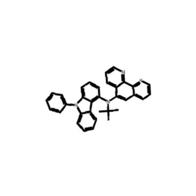 CC(C)(C)N(c1cc2cccnc2c2ncccc12)c1cccc2c1c1ccccc1n2-c1ccccc1